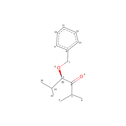 CC(C)C(=O)[C@H](OCc1ccccc1)C(C)C